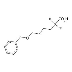 O=C(O)C(F)(F)CCCCOCc1ccccc1